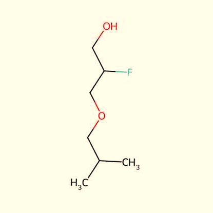 CC(C)COCC(F)CO